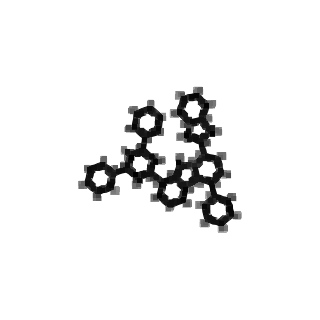 c1ccc(-c2nc(-c3ccccc3)nc(-c3cccc4c3sc3c(-c5nc6ccccc6s5)ccc(-c5ccccc5)c34)n2)cc1